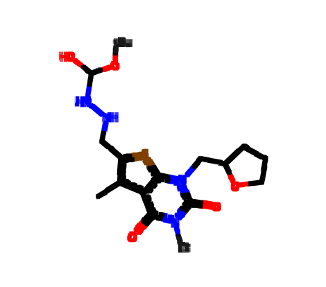 CCn1c(=O)c2c(C)c(CNNC(O)OC(C)(C)C)sc2n(CC2CCCO2)c1=O